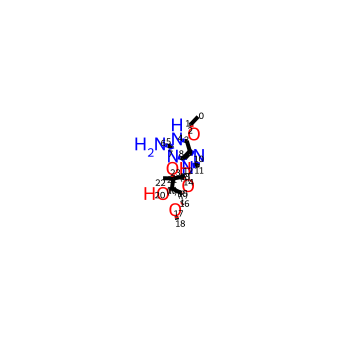 CCOC1NC(N)=Nc2c1ncn2[C@@H]1O[C@H](COC)[C@@H](O)C1(C)O